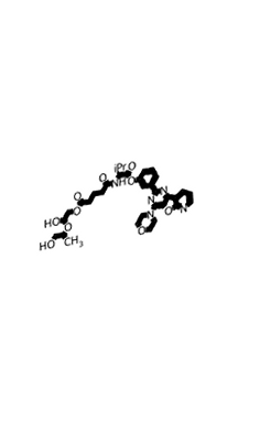 CC(CO)OC(O)COC(=O)CCCC(=O)N[C@H](C(=O)Oc1cccc(-c2nc(N3CCOCC3)c3oc4ncccc4c3n2)c1)C(C)C